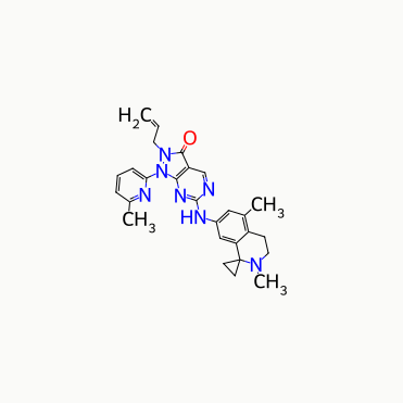 C=CCn1c(=O)c2cnc(Nc3cc(C)c4c(c3)C3(CC3)N(C)CC4)nc2n1-c1cccc(C)n1